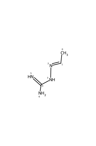 CC=NNC(=N)N